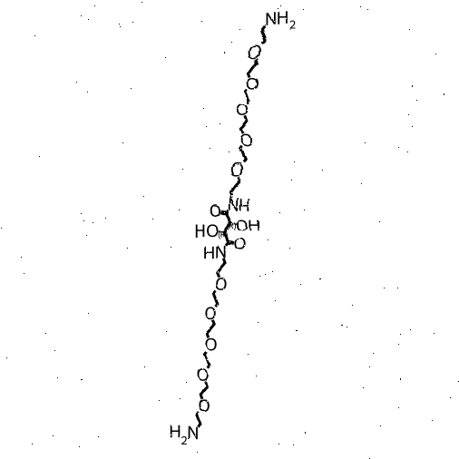 NCCOCCOCCOCCOCCOCCNC(=O)[C@H](O)[C@@H](O)C(=O)NCCOCCOCCOCCOCCOCCN